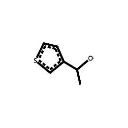 CC([O])c1ccsc1